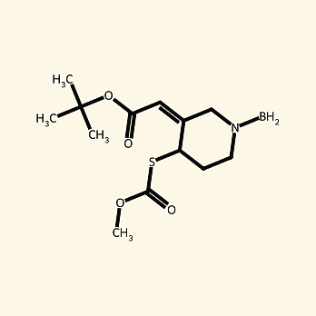 BN1CCC(SC(=O)OC)/C(=C\C(=O)OC(C)(C)C)C1